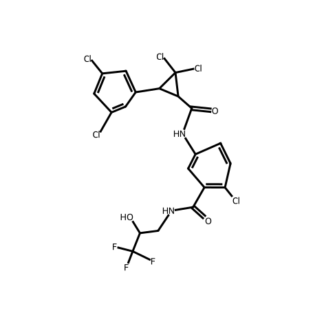 O=C(NCC(O)C(F)(F)F)c1cc(NC(=O)C2C(c3cc(Cl)cc(Cl)c3)C2(Cl)Cl)ccc1Cl